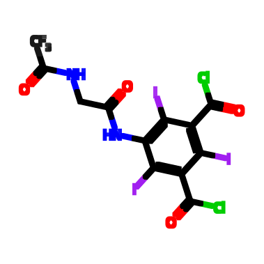 O=C(CNC(=O)C(F)(F)F)Nc1c(I)c(C(=O)Cl)c(I)c(C(=O)Cl)c1I